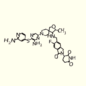 C[C@@H]1OCC2(CCN(c3cnc(Sc4ccnc(N)c4)c(N)n3)CC2)[C@@H]1NCc1cc2c(cc1F)C(=O)N(C1CCC(=O)NC1=O)C2